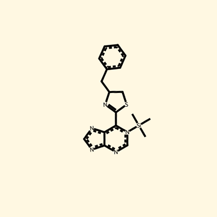 C[Si](C)(C)n1cnc2ncnc-2c1C1=NC(Cc2ccccc2)CS1